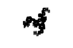 CCOC(=O)c1ncn2c1Cn1c(Cc3cccc(C(F)(F)F)c3)nnc1-c1cc(OC)ccc1-2